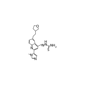 Cn1cncc1-c1cc(/C=N/NC(N)=S)c2cc(CCC3CCOC3)ccc2n1